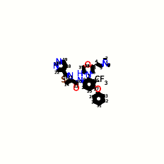 CN(C)CC[C@@H]1CN(c2c(NC(=O)c3csc(-c4ccnnc4)n3)ccc(Oc3ccccc3)c2C(F)(F)F)CCO1